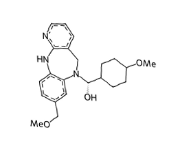 COCc1ccc2c(c1)N([C@@H](O)C1CCC(OC)CC1)Cc1cccnc1N2